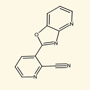 N#Cc1ncccc1-c1nc2ncccc2o1